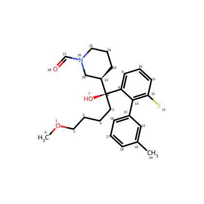 COCCCC[C@@](O)(c1cccc(F)c1-c1cccc(C)c1)[C@@H]1CCCN(C=O)C1